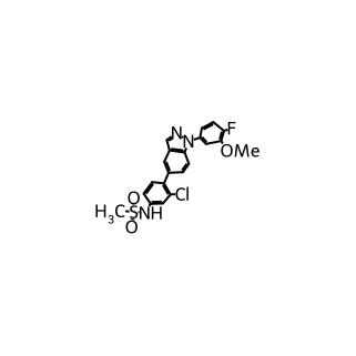 COc1cc(-n2ncc3cc(-c4ccc(NS(C)(=O)=O)cc4Cl)ccc32)ccc1F